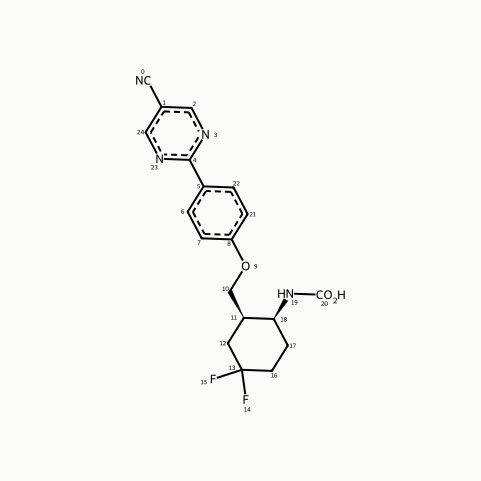 N#Cc1cnc(-c2ccc(OC[C@@H]3CC(F)(F)CC[C@@H]3NC(=O)O)cc2)nc1